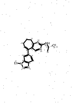 CCn1nnc2ccc(C3=CCCCc4nc(N[C@@H](C)C(F)(F)F)ncc43)cc21